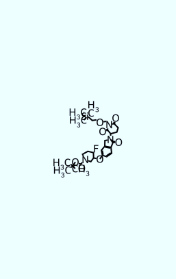 CC(C)(C)OC(=O)N1CCC(F)C(Oc2ccc3c(c2)CN(C2CCC(=O)N(COCC[Si](C)(C)C)C2=O)C3=O)C1